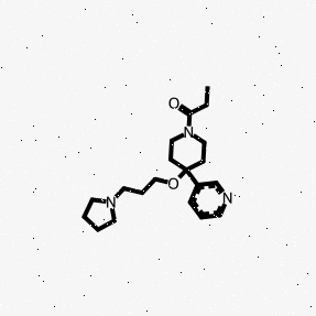 CCC(=O)N1CCC(OCCCN2CCCC2)(c2cccnc2)CC1